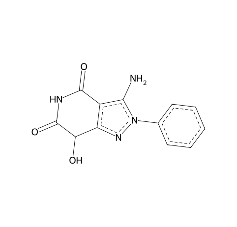 Nc1c2c(nn1-c1ccccc1)C(O)C(=O)NC2=O